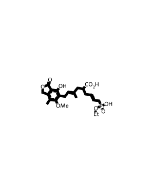 CCOP(=O)(O)CC=CCC(C/C(C)=C/Cc1c(O)c2c(c(C)c1OC)COC2=O)C(=O)O